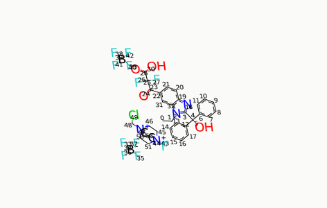 CCn1c(C(O)(c2ccccc2)c2ccccc2)nc2ccc(C(=O)C(F)(F)C(=O)O)cc21.F[B-](F)(F)F.F[B-](F)(F)F.F[N+]12CC[N+](CCl)(CC1)CC2